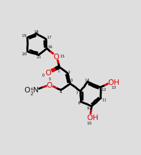 O=C(/C=C(\CO[N+](=O)[O-])c1cc(O)cc(O)c1)Oc1ccccc1